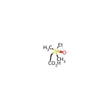 CCS(C)(C)(=O)CC(=O)O